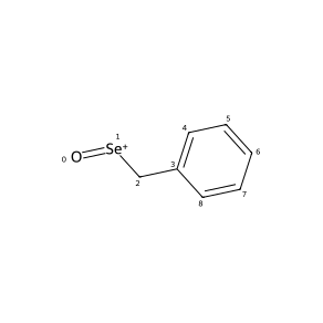 O=[Se+]Cc1ccccc1